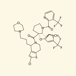 CCC[C@H]1N(C(=O)c2ncccc2C(F)(F)F)CCC[C@]1(Oc1csc(C(F)(F)F)c1)C(=O)N1CCc2sc(Cl)cc2C1CCCN1CCOCC1